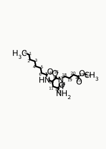 CCCCCCCC(=O)NC(CC(N)=O)C(=O)NCCCC(=O)OC